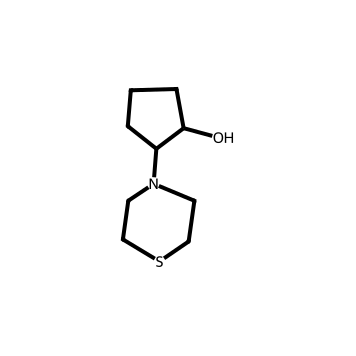 OC1CCCC1N1CCSCC1